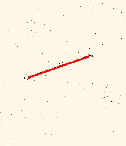 CCCOCCOCCOCCOCCOCCOCCOCCOCCOCCOCCOCCOCCOCCOCCOCCOCCOCCOCCOCCOCCOCCOCCOCCOCCOCCOCCOCCOCCC(C)=O